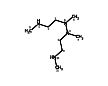 CNCCN(C)N(C)CCNC